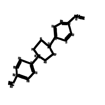 CCCCCCc1ccc(N2CCN(c3ccc(C#N)cc3)CC2)cc1